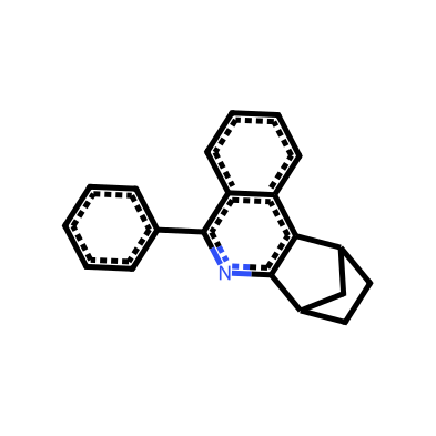 c1ccc(-c2nc3c(c4ccccc24)C2CCC3C2)cc1